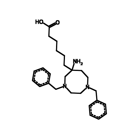 NC1(CCCCCC(=O)O)CCN(Cc2ccccc2)CCN(Cc2ccccc2)C1